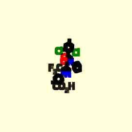 Cc1cc(Cl)c(C(=O)CN(C(=O)c2cnn(C3CCC(C)(C(=O)O)CC3)c2C(F)(F)F)C2CC3CCC2C3)c(Cl)c1